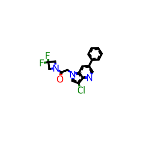 O=C(Cn1cc(Cl)c2ncc(-c3ccccc3)cc21)N1CC(F)(F)C1